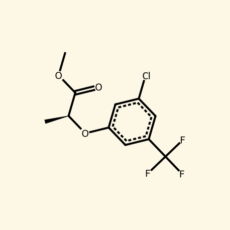 COC(=O)[C@H](C)Oc1cc(Cl)cc(C(F)(F)F)c1